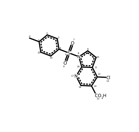 Cc1ccc(S(=O)(=O)n2ccc3c(Cl)c(C(=O)O)cnc32)cc1